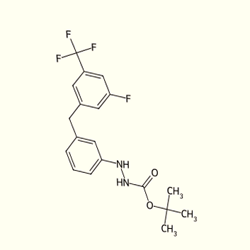 CC(C)(C)OC(=O)NNc1cccc(Cc2cc(F)cc(C(F)(F)F)c2)c1